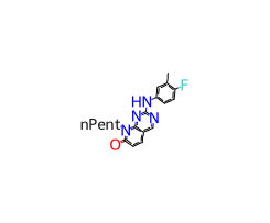 CCCCCn1c(=O)ccc2cnc(Nc3ccc(F)c(C)c3)nc21